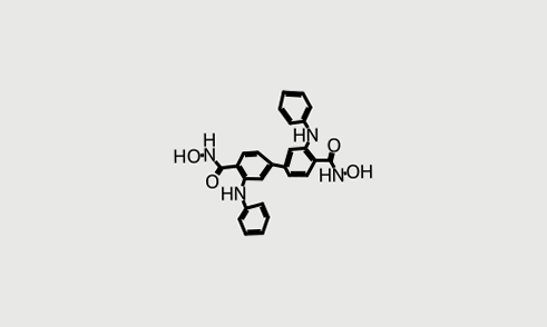 O=C(NO)c1ccc(-c2ccc(C(=O)NO)c(Nc3ccccc3)c2)cc1Nc1ccccc1